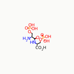 N[C@@H](COP(=O)(O)O)C(=O)N[C@@H](COP(=O)(O)O)C(=O)O